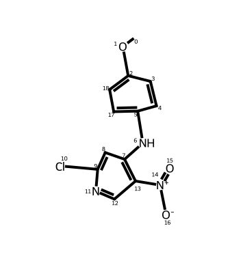 COc1ccc(Nc2cc(Cl)ncc2[N+](=O)[O-])cc1